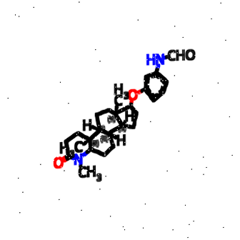 CN1C(=O)CC[C@@]2(C)C1CC[C@@H]1[C@H]2CC[C@]2(C)C(Oc3cccc(NC=O)c3)CC[C@@H]12